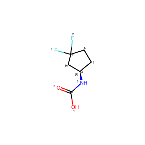 O=C(O)N[C@@H]1CCC(F)(F)C1